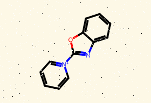 c1cc[n+](-c2nc3ccccc3o2)cc1